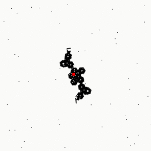 CC12CCCCC1(C)N(c1ccc(F)cc1)c1ccc(-c3ccc4c(c3)C(c3ccccc3)(c3ccccc3)c3c-4c4ccccc4c4cc(-c5ccc6c(c5)C5(C)CCCCC5(C)N6c5ccc(F)cc5)ccc34)cc12